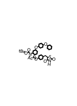 CC(=O)N(Oc1ccc(CC2SC(=O)NC2=O)cc1)c1ccc(Oc2ccc(Oc3ccccc3)cc2)cc1N(C)C(=O)OC(C)(C)C